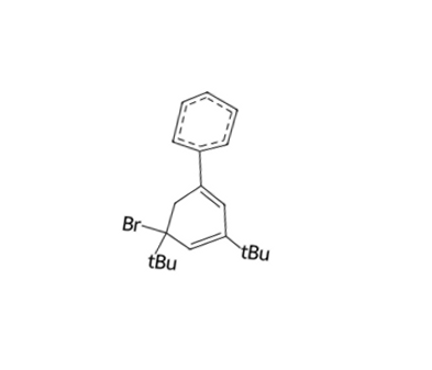 CC(C)(C)C1=CC(Br)(C(C)(C)C)CC(c2ccccc2)=C1